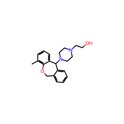 Cc1cccc2c1OCc1ccccc1C2N1CCN(CCO)CC1